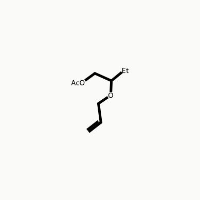 C=CCOC(CC)COC(C)=O